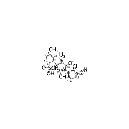 Cc1ccc(S(=O)(=O)O)c(-c2nc(C)n(-c3cccc(C#N)c3Cl)c(=O)c2C)c1